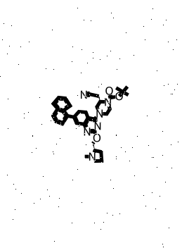 CN1CCC[C@H]1COc1nc2c(c(N3CCN(C(=O)OC(C)(C)C)[C@@H](CC#N)C3)n1)CCC(c1cccc3ccccc13)=C2